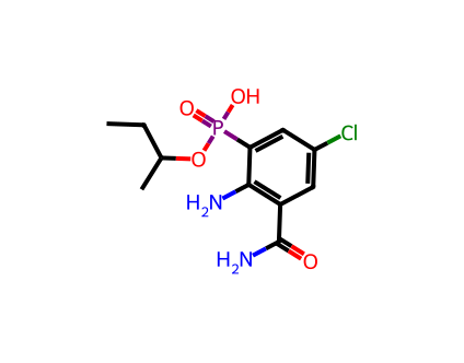 CCC(C)OP(=O)(O)c1cc(Cl)cc(C(N)=O)c1N